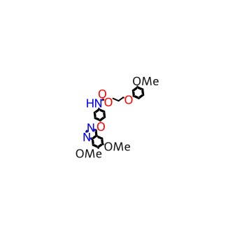 COc1cccc(OCCCOC(=O)Nc2ccc(Oc3ncnc4cc(OC)c(OC)cc34)cc2)c1